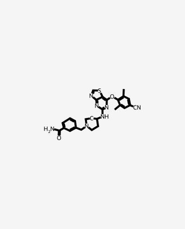 Cc1cc(C#N)cc(C)c1Oc1nc(NC2CCN(Cc3cccc(C(N)=O)c3)CC2)nc2ncsc12